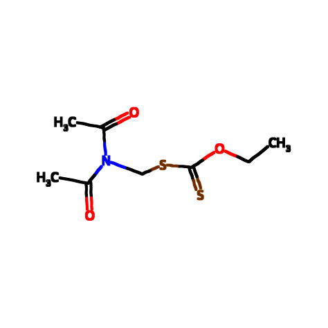 CCOC(=S)SCN(C(C)=O)C(C)=O